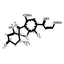 CN/C=C\C(=N)c1cc(OC)c2c(c1Cl)O[C@]1(C2=O)C(O)=CC(=O)C[C@H]1C